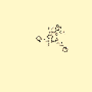 Cc1noc(C)c1C(=O)Nc1ccc2c(c1)N(C(=O)CNCCc1ccccn1)CC(=O)N2CCc1ccccn1